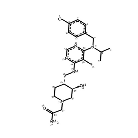 CC(C)N(Cc1ccc(Cl)cc1)c1ncnc(NC[C@H]2CCN(CC(N)=O)C[C@@H]2O)c1F